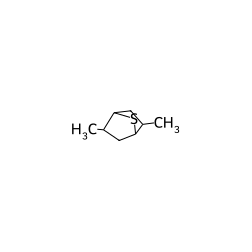 CC1CC2SC1CC2C